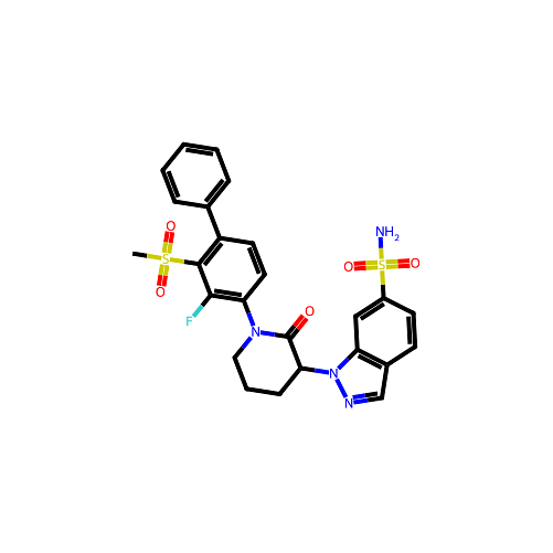 CS(=O)(=O)c1c(-c2ccccc2)ccc(N2CCCC(n3ncc4ccc(S(N)(=O)=O)cc43)C2=O)c1F